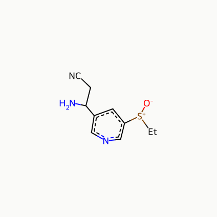 CC[S+]([O-])c1cncc(C(N)CC#N)c1